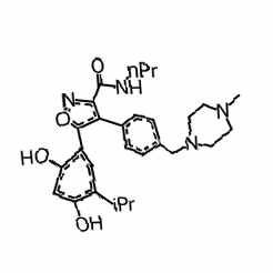 CCCNC(=O)c1noc(-c2cc(C(C)C)c(O)cc2O)c1-c1ccc(CN2CCN(C)CC2)cc1